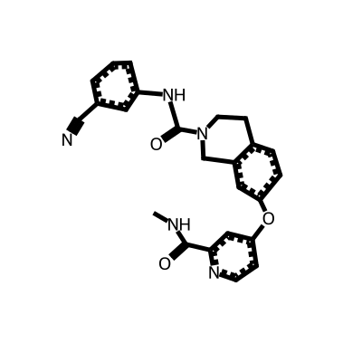 CNC(=O)c1cc(Oc2ccc3c(c2)CN(C(=O)Nc2cccc(C#N)c2)CC3)ccn1